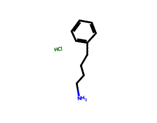 Cl.NCCCCc1ccccc1